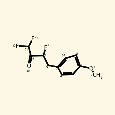 COc1ccc(CC(F)C(=O)C(F)F)cc1